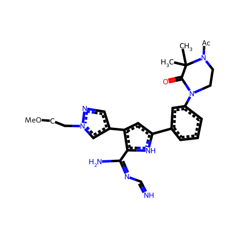 COCCn1cc(-c2cc(-c3cccc(N4CCN(C(C)=O)C(C)(C)C4=O)c3)[nH]c2/C(N)=N\C=N)cn1